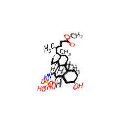 COC(=O)CC[C@@H](C)[C@H]1CC[C@H]2[C@@H]3C(NS(=O)(=O)O)[C@H](O)[C@@H]4C[C@H](O)CC[C@]4(C)[C@H]3CC[C@]12C